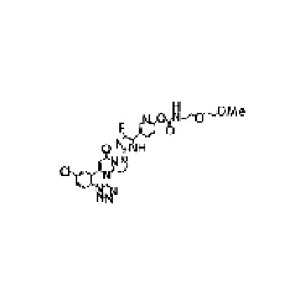 COCCOCCNC(=O)Oc1ccc(-c2[nH]c([C@@H]3CCc4nc(-c5cc(Cl)ccc5-n5cnnn5)cc(=O)n43)nc2F)cn1